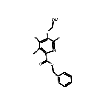 COCOc1c(C)nc(C(=O)OCc2ccccc2)c(C)c1C